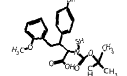 COc1ccccc1CC(c1ccc(O)cc1)[C@H](C(=O)O)N(S)C(=O)OC(C)(C)C